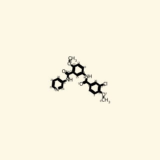 COc1ccc(C(=O)Nc2ccc(OC)c(C(=O)Nc3cccnc3)c2)cc1Cl